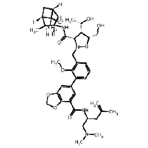 C=C(C)C[C@@H](CN(C)C)NC(=O)c1cc(-c2cccc(CN3O[C@@H](CO)[C@@H]([C@H](C)O)[C@H]3C(=O)N[C@H]3C[C@H]4C[C@@H]([C@@H]3C)C4(C)C)c2OC)cc2c1OCO2